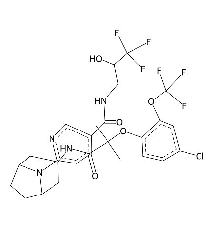 CC(C)(Oc1ccc(Cl)cc1OC(F)(F)F)C(=O)NC1CC2CCC(C1)N2c1ccc(C(=O)NCC(O)C(F)(F)F)cn1